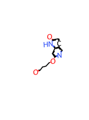 O=CCCCOc1cc2[nH]c(=O)ccc2cn1